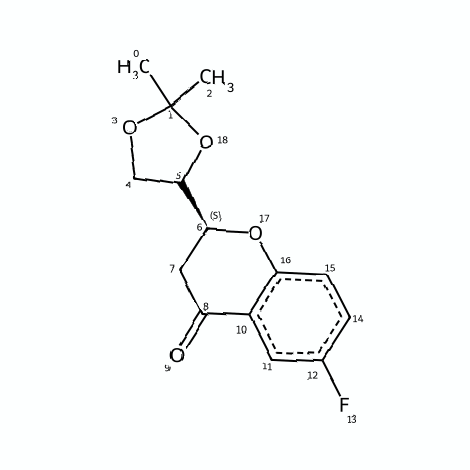 CC1(C)OCC([C@@H]2CC(=O)c3cc(F)ccc3O2)O1